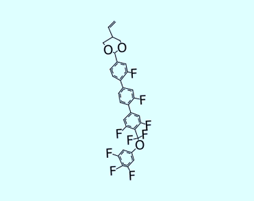 C=CC1COC(c2ccc(-c3ccc(-c4cc(F)c(C(F)(F)Oc5cc(F)c(F)c(F)c5)c(F)c4)c(F)c3)c(F)c2)OC1